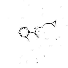 Cc1cccnc1C(=O)NOCC1CC1